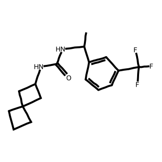 CC(NC(=O)NC1CC2(CCC2)C1)c1cccc(C(F)(F)F)c1